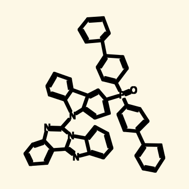 O=P(c1ccc(-c2ccccc2)cc1)(c1ccc(-c2ccccc2)cc1)c1ccc2c(c1)c1ccccc1n2-c1nc2ccccc2c2nc3ccccc3n12